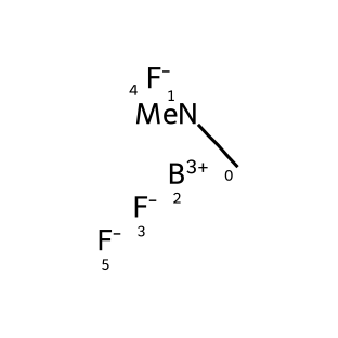 CNC.[B+3].[F-].[F-].[F-]